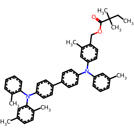 CCC(C)(C)C(=O)OCc1ccc(N(c2ccc(-c3ccc(N(c4ccccc4C)c4cc(C)ccc4C)cc3)cc2)c2cccc(C)c2)cc1C